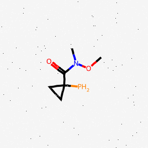 CON(C)C(=O)C1(P)CC1